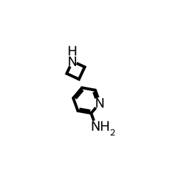 C1CNC1.Nc1ccccn1